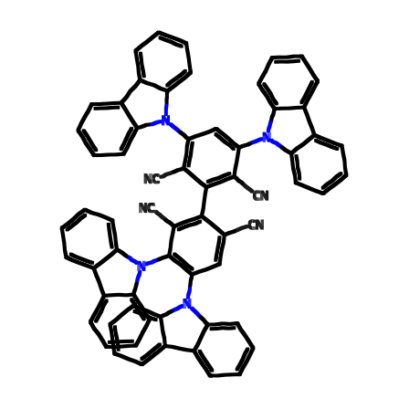 N#Cc1cc(-n2c3ccccc3c3ccccc32)c(-n2c3ccccc3c3ccccc32)c(C#N)c1-c1c(C#N)c(-n2c3ccccc3c3ccccc32)cc(-n2c3ccccc3c3ccccc32)c1C#N